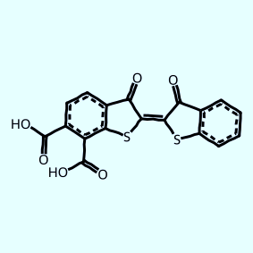 O=C1C(=C2Sc3c(ccc(C(=O)O)c3C(=O)O)C2=O)Sc2ccccc21